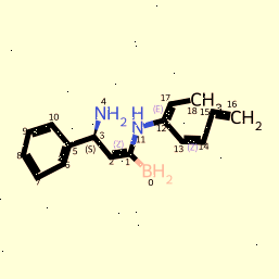 B/C(=C/[C@H](N)c1ccccc1)NC(/C=C\C=C)=C/C